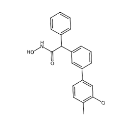 Cc1ccc(-c2cccc(C(C(=O)NO)c3ccccc3)c2)cc1Cl